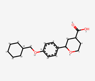 O=C(O)C1CCOC(c2ccc(OCC3CCCCC3)cc2)C1